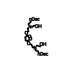 CCCCCCCCCCCCN(CCO)CCOC(=O)/C=C\C(=O)OCCN(CCO)CCCCCCCCCCCC